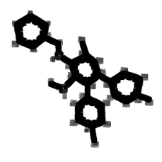 COc1c(OCc2ccccc2)c(C)[c]c(-c2ccc(C)cc2)c1-c1ccc(C)cc1